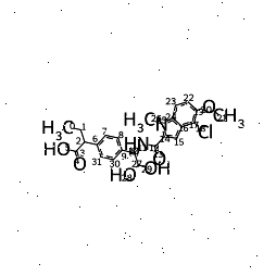 CCC(C(=O)O)c1ccc([C@H](NC(=O)c2cc3c(Cl)c(OC)ccc3n2C)C(O)O)cc1